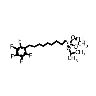 CO[Si](CCCCCCCCCc1c(F)c(F)c(F)c(F)c1F)(OC)OC(C)C